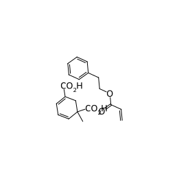 C=CC(=O)OCCc1ccccc1.CC1(C(=O)O)C=CC=C(C(=O)O)C1